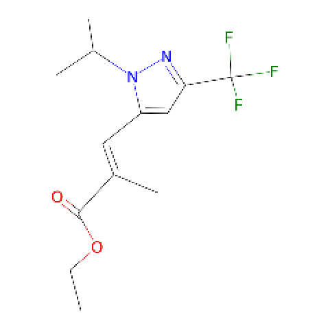 CCOC(=O)/C(C)=C/c1cc(C(F)(F)F)nn1C(C)C